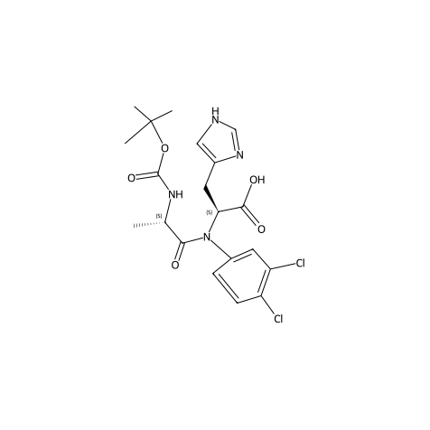 C[C@H](NC(=O)OC(C)(C)C)C(=O)N(c1ccc(Cl)c(Cl)c1)[C@@H](Cc1c[nH]cn1)C(=O)O